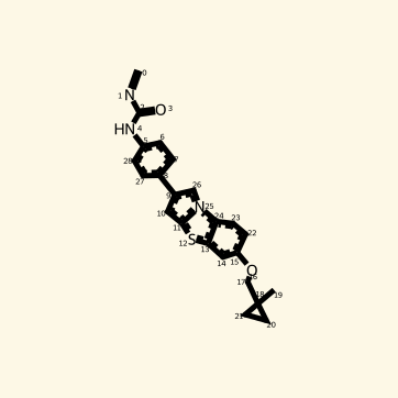 C=NC(=O)Nc1ccc(-c2cc3sc4cc(OCC5(C)CC5)ccc4n3c2)cc1